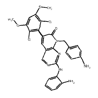 COc1cc(OC)c(Cl)c(-c2cc3cnc(Nc4ccccc4N)nc3n(Cc3ccc(N)cc3)c2=O)c1Cl